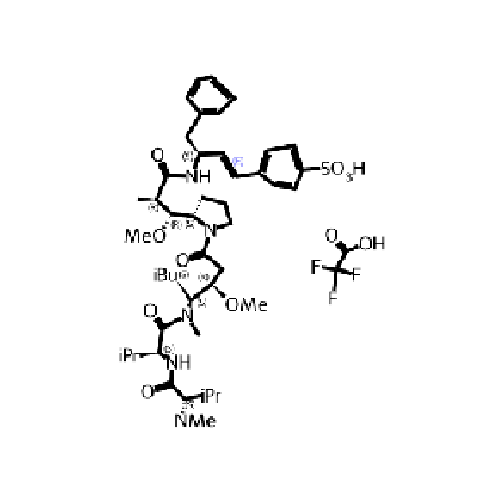 CC[C@H](C)[C@@H]([C@@H](CC(=O)N1CCC[C@H]1[C@H](OC)[C@@H](C)C(=O)N[C@H](/C=C/c1ccc(S(=O)(=O)O)cc1)Cc1ccccc1)OC)N(C)C(=O)[C@@H](NC(=O)[C@@H](NC)C(C)C)C(C)C.O=C(O)C(F)(F)F